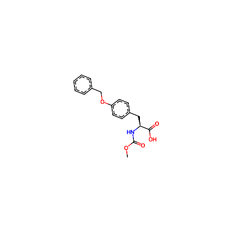 COC(=O)N[C@@H](Cc1ccc(OCc2ccccc2)cc1)C(=O)O